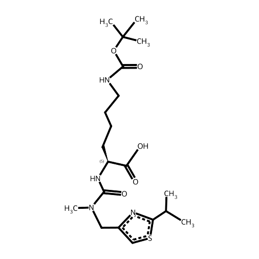 CC(C)c1nc(CN(C)C(=O)N[C@@H](CCCCNC(=O)OC(C)(C)C)C(=O)O)cs1